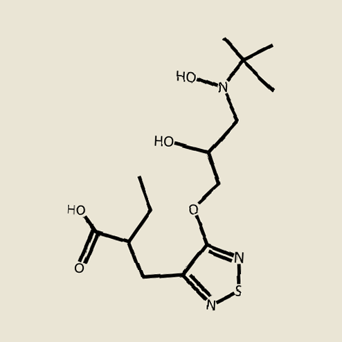 CCC(Cc1nsnc1OCC(O)CN(O)C(C)(C)C)C(=O)O